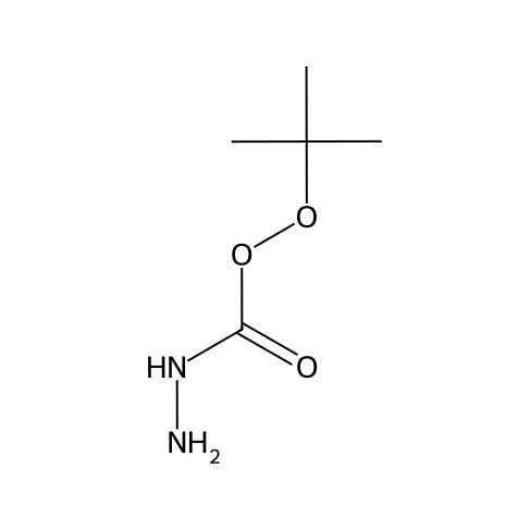 CC(C)(C)OOC(=O)NN